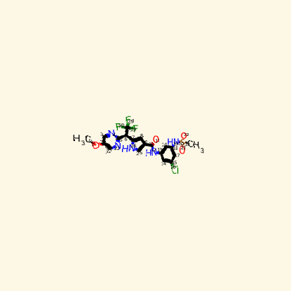 COc1cnc(C(c2cc(C(=O)Nc3cc(Cl)cc(NS(C)(=O)=O)c3)c[nH]2)C(F)(F)F)nc1